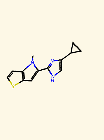 Cn1c(-c2nc(C3CC3)c[nH]2)cc2sccc21